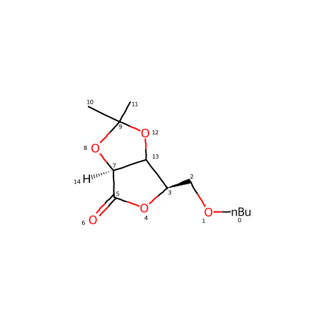 CCCCOC[C@H]1OC(=O)[C@H]2OC(C)(C)OC21